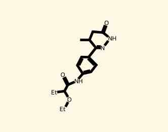 CCOC(CC)C(=O)Nc1ccc(C2=NNC(=O)CC2C)cc1